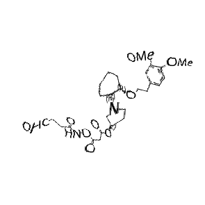 COc1ccc(CCO[C@@H]2CCCC[C@H]2N2CC[C@@H](OC(=O)CC(=O)ONC(=O)CCC=O)C2)cc1OC